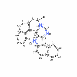 CC1Cc2ccc3ccccc3c2-c2c3c(nc[n+]21)c1c2ccccc2ccc1n3C